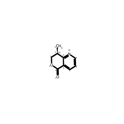 C[C@@H]1COC(=O)c2cccnc21